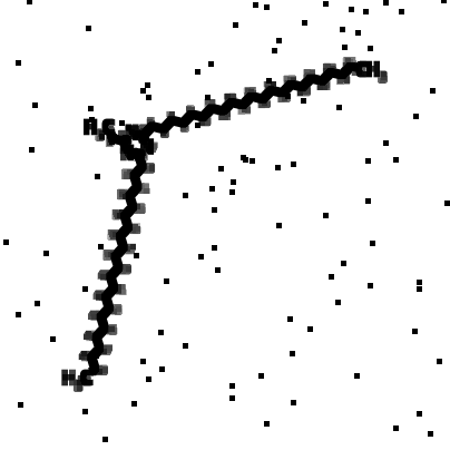 C[CH]c1nc(CCCCCCCCCCCCCCCCCCCCCC)nc(CCCCCCCCCCCCCCCCCCCCCC)n1